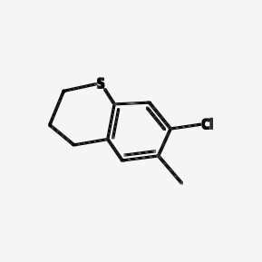 Cc1cc2c(cc1Cl)SCCC2